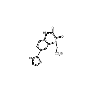 CCOC(=O)Cn1c(=O)c(=O)[nH]c2ccc(-c3ncc[nH]3)cc21